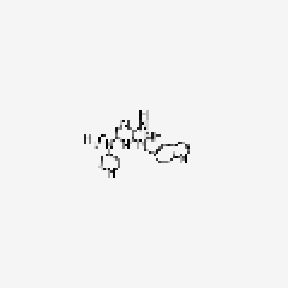 CN(c1ccncc1)c1cnc2c(n1)N(Cc1ccc3ncccc3c1)NN2